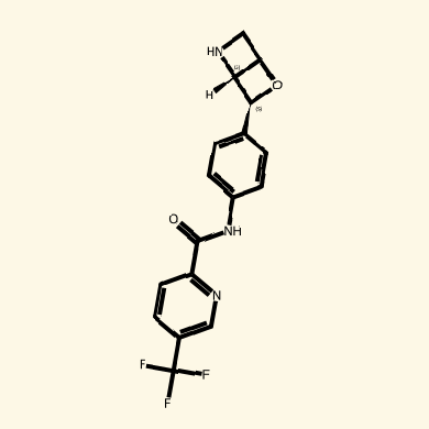 O=C(Nc1ccc([C@@H]2OC3CN[C@H]32)cc1)c1ccc(C(F)(F)F)cn1